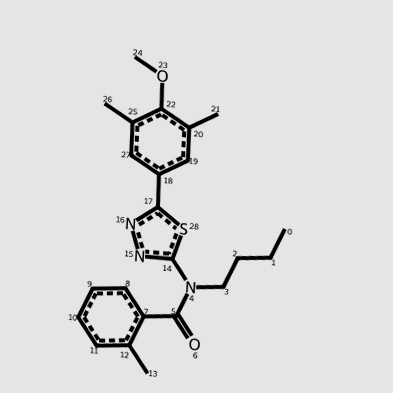 CCCCN(C(=O)c1ccccc1C)c1nnc(-c2cc(C)c(OC)c(C)c2)s1